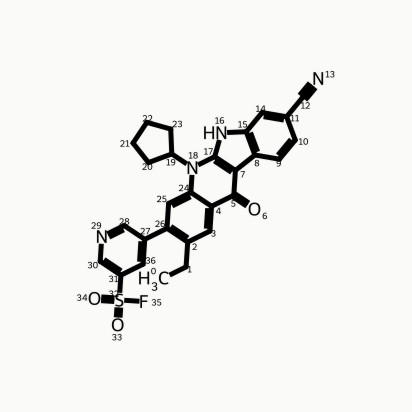 CCc1cc2c(=O)c3c4ccc(C#N)cc4[nH]c3n(C3CCCC3)c2cc1-c1cncc(S(=O)(=O)F)c1